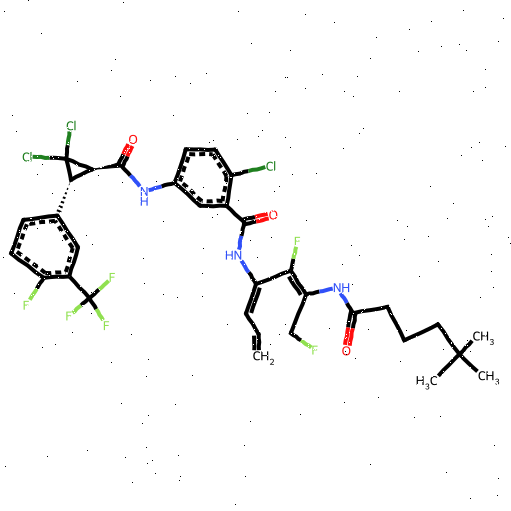 C=C/C=C(NC(=O)c1cc(NC(=O)[C@H]2[C@H](c3ccc(F)c(C(F)(F)F)c3)C2(Cl)Cl)ccc1Cl)\C(F)=C(/CF)NC(=O)CCCC(C)(C)C